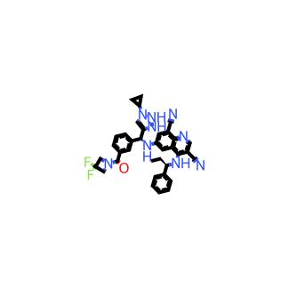 CC[C@@H](Nc1c(C#N)cnc2c(C#N)cc(N[C@H](C3=CN(C4CC4)NN3)c3cccc(C(=O)N4CC(F)(F)C4)c3)cc12)c1ccccc1